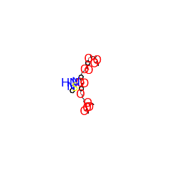 C=CC(=O)OCC(CCCCOc1ccc(C(=O)Oc2ccc(CCOC(=O)c3ccc(OC(C)(C)CC(C)(C)OC(=O)C=C)cc3)cc2/C=N/Nc2nc3ccccc3s2)cc1)OC(=O)C=C